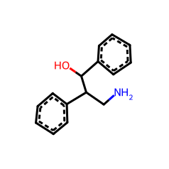 NCC(c1ccccc1)C(O)c1ccccc1